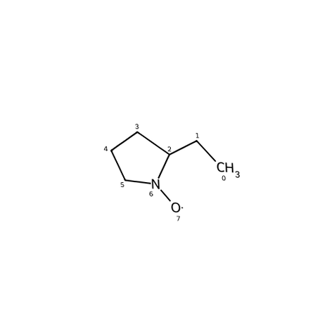 CCC1CCCN1[O]